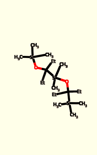 CCC(CC)(O[Si](C)(C)C(CC)(CC)O[Si](C)(C)C)[Si](C)(C)C